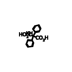 O=C(O)C(C(=O)O)(c1ccccc1)c1ccccc1.[KH]